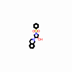 O=S(=O)(c1ccccc1)N1CC(O)C(N2CCc3ccccc3C2)C1